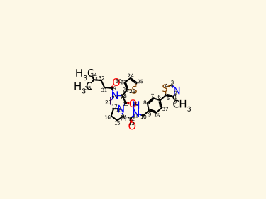 Cc1ncsc1-c1ccc(CNC(=O)[C@@H]2CCCN2C(=O)[C@H](c2cccs2)N(I)C(=O)CCC(C)C)cc1